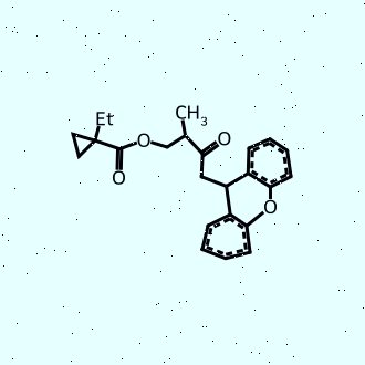 CCC1(C(=O)OCC(C)C(=O)CC2c3ccccc3Oc3ccccc32)CC1